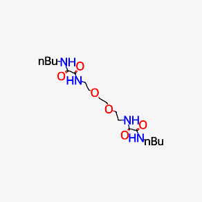 CCCCNC(=O)C(=O)NCCOCCOCCNC(=O)C(=O)NCCCC